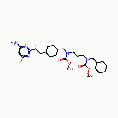 CC(C)(C)OC(=O)N(CCCN(C[C@H]1CC[C@H](CNc2nc(N)cc(Cl)n2)CC1)C(=O)OC(C)(C)C)CC1CCCCC1